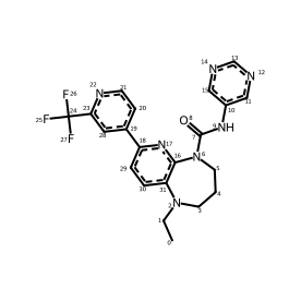 CCN1CCCN(C(=O)Nc2cncnc2)c2nc(-c3ccnc(C(F)(F)F)c3)ccc21